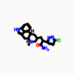 CN1CC(CC(C(N)=O)c2ccc(Cl)nn2)C[C@@H]2c3cccc4[nH]cc(c34)C[C@H]21